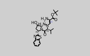 CC(C)[C@@H](C(=O)N1C[C@H](O)C[C@H]1c1nc2ccccc2s1)N(N)/C=C(\N)C(=O)OC(C)(C)C